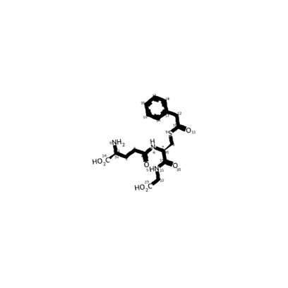 N[C@@H](CCC(=O)N[C@@H](CSC(=O)Cc1ccccc1)C(=O)NCC(=O)O)C(=O)O